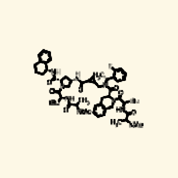 CNC(C)C(=O)NC(C(=O)N1C[C@@H](NC(=O)C2CC2CN(C(=O)[C@@H]2Cc3ccccc3CN2C(=O)C(NC(=O)C(C)NC)C(C)(C)C)[C@H](C)c2ccccc2F)C[C@H]1C(=O)N[C@@H]1CCCc2ccccc21)C(C)(C)C